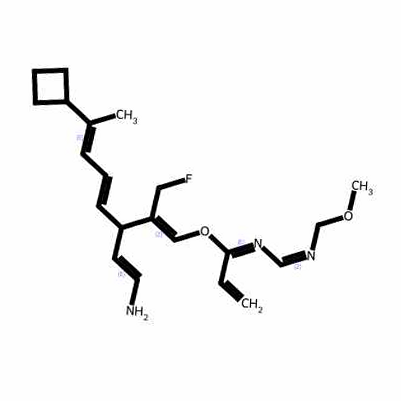 C=C/C(=N\C=N/COC)O/C=C(\CF)C(C=C/C=C(\C)C1CCC1)/C=C/N